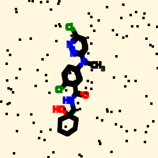 CN(c1ccc(Cl)c(C(=O)NCC2(O)CCCCC2)c1)c1ccc(Cl)nn1